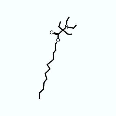 CCCCCCCCCCCCOC(=O)C(CC)(CC)N(CC)CC